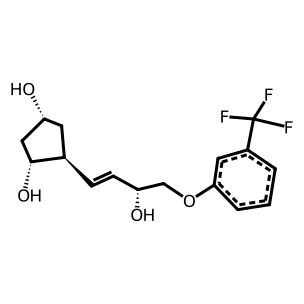 O[C@H]1C[C@@H](O)[C@H](/C=C/[C@@H](O)COc2cccc(C(F)(F)F)c2)C1